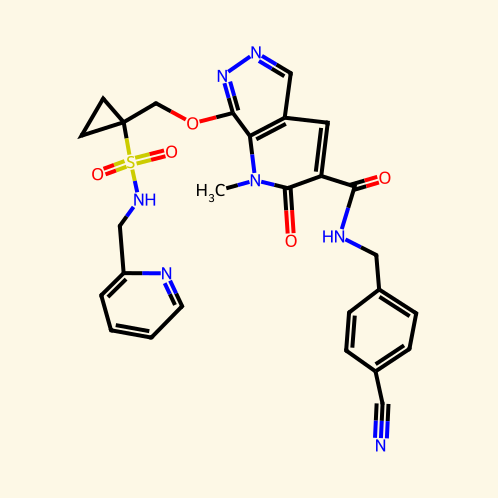 Cn1c(=O)c(C(=O)NCc2ccc(C#N)cc2)cc2cnnc(OCC3(S(=O)(=O)NCc4ccccn4)CC3)c21